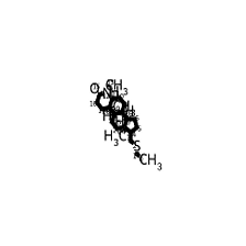 CCSCC1CC[C@H]2[C@@H]3CC[C@H]4N(C)C(=O)CC[C@]4(C)[C@H]3CC[C@]12C